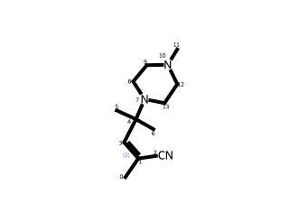 C/C(C#N)=C/C(C)(C)N1CCN(C)CC1